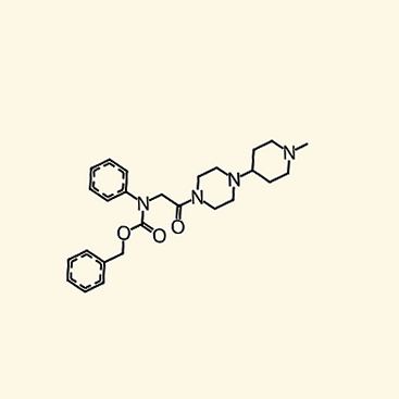 CN1CCC(N2CCN(C(=O)CN(C(=O)OCc3ccccc3)c3ccccc3)CC2)CC1